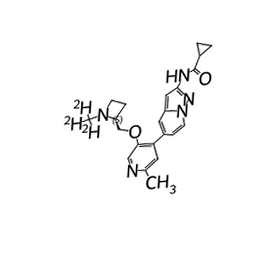 [2H]C([2H])([2H])N1CC[C@H]1COc1cnc(C)cc1-c1ccn2nc(NC(=O)C3CC3)cc2c1